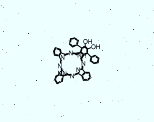 Oc1c(O)c(-c2ccccc2)c2c3nc4nc(nc5[nH]c(nc6nc(nc([nH]3)c2c1-c1ccccc1)-c1ccccc1-6)c1ccccc51)-c1ccccc1-4